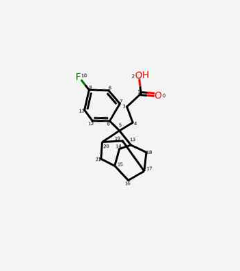 O=C(O)CCC1(c2ccc(F)cc2)C2CC3CC(C2)CC1C3